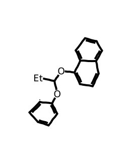 CCC(Oc1[c]cccc1)Oc1cccc2ccccc12